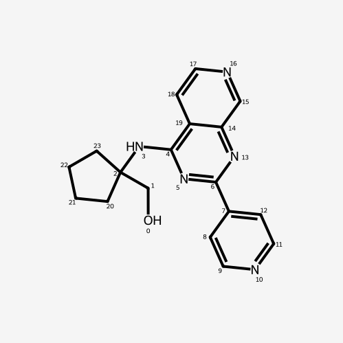 OCC1(Nc2nc(-c3ccncc3)nc3cnccc23)CCCC1